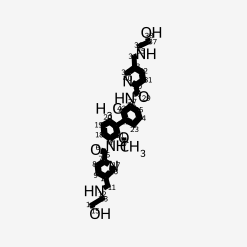 COc1c(NC(=O)c2ccc(CNCCO)cn2)cccc1-c1cccc(NC(=O)c2ccc(CNCCO)cn2)c1C